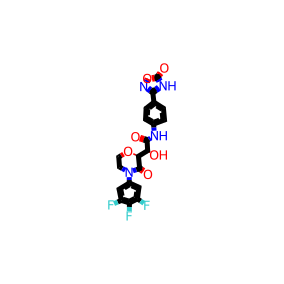 O=C(Nc1ccc(-c2noc(=O)[nH]2)cc1)[C@H](O)[C@H]1OCCN(c2cc(F)c(F)c(F)c2)C1=O